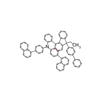 CCC1(c2ccc(-c3ccccc3)cc2)c2ccccc2-c2c(-c3ccccc3N(c3ccc(-c4cccc5ccccc45)cc3)c3ccc(-c4cccc5ccccc45)cc3)cccc21